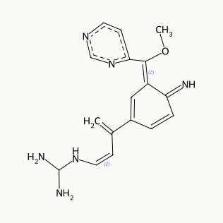 C=C(/C=C\NC(N)N)C1=C/C(=C(/OC)c2ccncn2)C(=N)C=C1